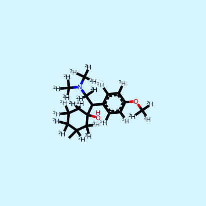 [2H]c1c([2H])c(C(C([2H])([2H])N(C([2H])([2H])[2H])C([2H])([2H])[2H])C2(O)C([2H])([2H])C([2H])([2H])C([2H])([2H])C([2H])(C)C2([2H])[2H])c([2H])c([2H])c1OC([2H])([2H])[2H]